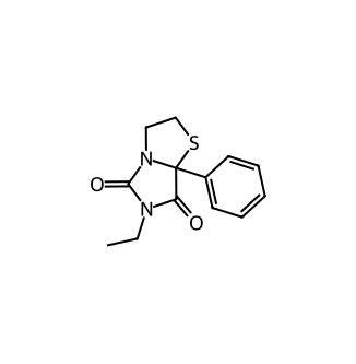 CCN1C(=O)N2CCSC2(c2ccccc2)C1=O